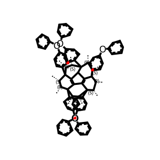 C[C@@H]1[C@H](C)C2(c3ccc(Oc4ccccc4)cc3)C3=C4C5=C6C3C(c3ccc(Oc7ccccc7)cc3)([C@H](C)[C@H](C)C6(c3ccc(Oc6ccccc6)cc3)[C@H](C)[C@H](C)C5(c3ccc(Oc5ccccc5)cc3)[C@H](C)[C@H](C)C41c1ccc(Oc3ccccc3)cc1)[C@@H](C)[C@H]2C